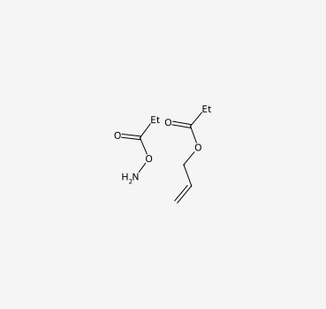 C=CCOC(=O)CC.CCC(=O)ON